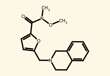 CON(C)C(=O)c1ccc(CN2CCc3ccccc3C2)o1